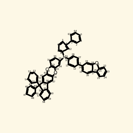 c1ccc(-c2cccc(N(c3ccc(-c4ccc5c(c4)oc4ccccc45)cc3)c3ccc4c(c3)Oc3cc5c(cc3O4)C(c3ccccc3)(c3ccccc3)c3ccccc3-5)c2)cc1